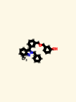 Oc1cccc(COCc2cccc(-c3c4cccc(C(F)(F)F)c4nn3Cc3ccccc3)c2)c1